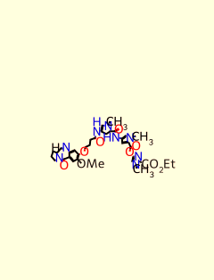 CCOC(=O)c1nc(OC(=O)c2cc(NC(=O)C3CC(NC(=O)CCCOc4cc5c(cc4OC)C(=O)N4CCC[C@H]4C=N5)=CN3C)cn2C)cn1C